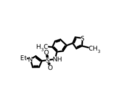 CCn1ccc(S(=O)(=O)Nc2cc(-c3csc(C)c3)ccc2C)c1